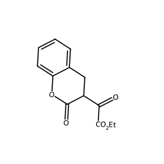 CCOC(=O)C(=O)C1Cc2ccccc2OC1=O